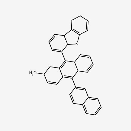 CC1C=CC2=C(c3ccc4ccccc4c3)C3C=CC=CC3C(C3=CC=CC4C5=C(C=CCC5)SC34)=C2C1